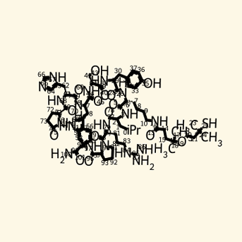 CC(C)CC(NC(=O)[C@@H](CCCCNC(=O)CCC(C)(C)OCCC(C)(C)S)NC(=O)C(Cc1ccc(O)cc1)NC(=O)[C@H](CO)NC(=O)C(Cc1c[nH]c2ccccc12)NC(=O)[C@H](Cc1cnc[nH]1)NC(=O)[C@@H]1CCC(=O)N1)C(=O)N[C@@H](CCCNC(=N)N)C(=O)N1CCCC1C(=O)NCC(N)=O